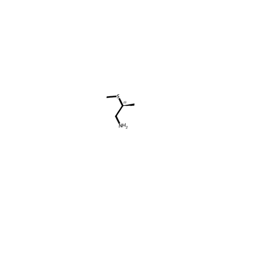 CS[C@@H](C)CN